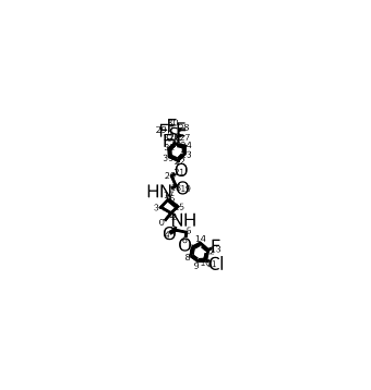 CC1(NC(=O)COc2ccc(Cl)c(F)c2)C=C(NC(=O)COc2ccc(S(F)(F)(F)(F)F)cc2)C1